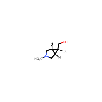 CC(C)(C)[C@@]1(CO)[C@@H]2CN(C(=O)O)C[C@@H]21